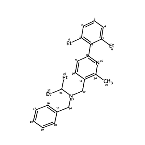 CCc1cccc(CC)c1-c1ccc(CN(Cc2ccccc2)C(CC)CC)c(C)n1